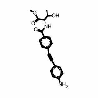 COC(=O)[C@@H](NC(=O)c1ccc(C#Cc2ccc(N)cc2)cc1)[C@@H](C)O